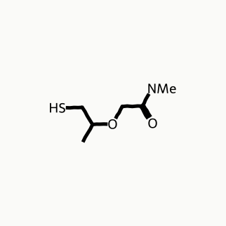 CNC(=O)COC(C)CS